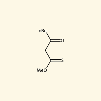 CCCCC(=O)CC(=S)OC